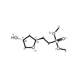 COP(=O)(CC[C@@H]1C[C@@H](O)CO1)OC